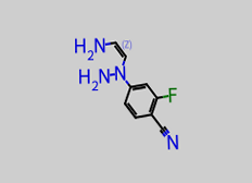 N#Cc1ccc(N(N)/C=C\N)cc1F